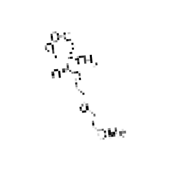 COCCOCCOC(=O)C1(C)COOOC1